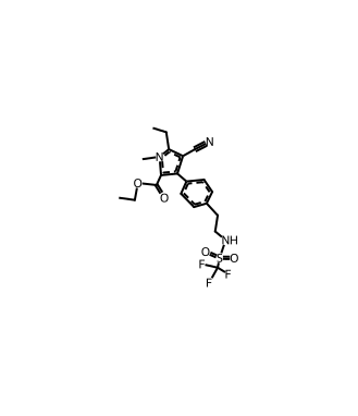 CCOC(=O)c1c(-c2ccc(CCNS(=O)(=O)C(F)(F)F)cc2)c(C#N)c(CC)n1C